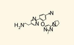 Cc1nc(Oc2cc(C#N)ccc2-c2ncc(CCN)cn2)cc(N2C3CCC2CC3)n1